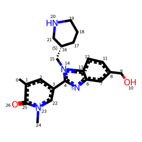 Cc1cc(-c2nc3cc(CO)ccc3n2C[C@H]2CCCNC2)cn(C)c1=O